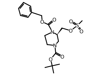 CC(C)(C)OC(=O)N1CCN(C(=O)OCc2ccccc2)[C@@H](COS(C)(=O)=O)C1